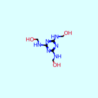 OCNc1nc(NCO)nc(NCO)n1